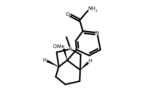 CO[C@]1(c2ccnc(C(N)=O)c2)[C@@H]2CCC[C@H]1CN(C)C2